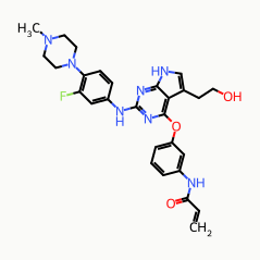 C=CC(=O)Nc1cccc(Oc2nc(Nc3ccc(N4CCN(C)CC4)c(F)c3)nc3[nH]cc(CCO)c23)c1